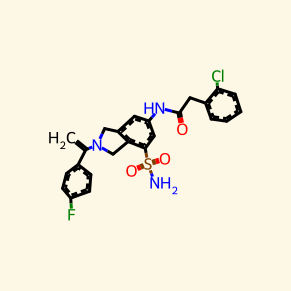 C=C(c1ccc(F)cc1)N1Cc2cc(NC(=O)Cc3ccccc3Cl)cc(S(N)(=O)=O)c2C1